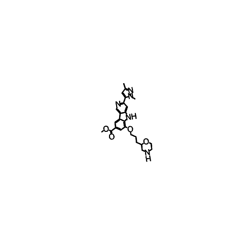 COC(=O)c1cc(OCCCC2CNCCO2)c2[nH]c3cc(-c4cc(C)nn4C)ncc3c2c1